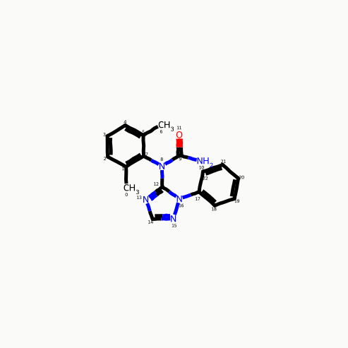 Cc1cccc(C)c1N(C(N)=O)c1ncnn1-c1ccccc1